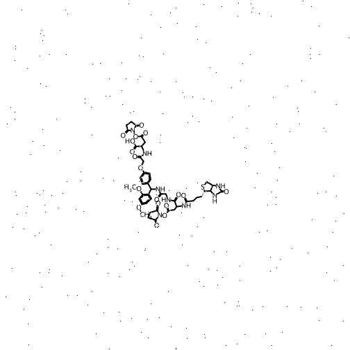 COc1ccc(C(NC(=O)CNC(=O)C(CC(=O)ON2C(=O)CCC2=O)NC(=O)CCC[C@@H]2SCC3NC(=O)NC32)c2ccc(OCC(=O)NC(CC(=O)ON3C(=O)CCC3=O)C(=O)O)cc2)c(OC)c1